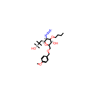 CCCCOC1[C@H](O)C(COCc2ccc(OC)cc2)O[C@@H](CC(C)(C)[Si](C)(C)O)[C@H]1N=[N+]=[N-]